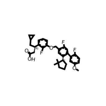 COc1ccc(F)c(-c2cc(F)c(COc3cccc([C@@H](CC(=O)O)CC4CC4)c3F)cc2[C@H]2CCCC2(C)C)c1